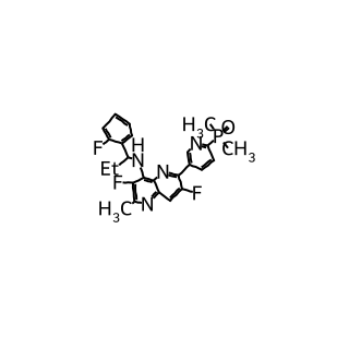 CCC(Nc1c(F)c(C)nc2cc(F)c(-c3ccc(P(C)(C)=O)nc3)nc12)c1ccccc1F